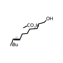 CC(=O)O.CCCC/C=C/CCCCCCO